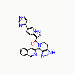 O=C(c1cnn2cc(-c3ccncn3)ccc12)N1CCc2[nH]cnc2[C@H]1c1cc2ccccc2cn1